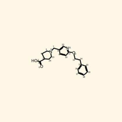 O=C(O)C1CCN(Cc2ccc(OCCc3ccccc3)nc2)CC1